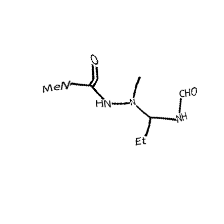 CCC(NC=O)N(C)NC(=O)NC